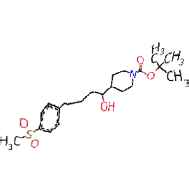 CC(C)(C)OC(=O)N1CCC(C(O)CCCc2ccc(S(C)(=O)=O)cc2)CC1